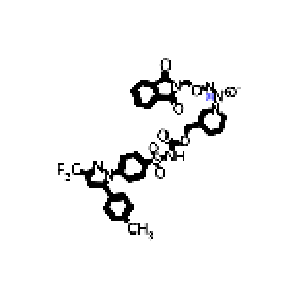 Cc1ccc(-c2cc(C(F)(F)F)nn2-c2ccc(S(=O)(=O)NC(=O)OCC3CCCN(/[N+]([O-])=N\OCN4C(=O)c5ccccc5C4=O)C3)cc2)cc1